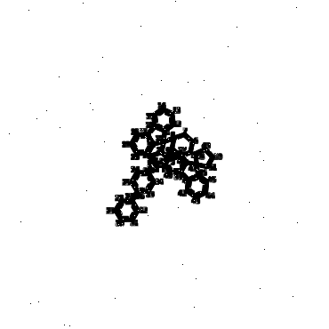 CCC1CC2CCCC(C2)C12c1ccccc1-c1cccc(N(c3ccc(-c4ccccc4)cc3)c3ccc4c(c3)-c3ccccc3C43CCCC3)c12